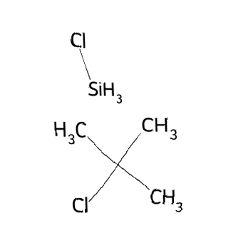 CC(C)(C)Cl.[SiH3]Cl